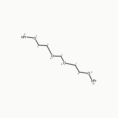 CCCOCCOCOCCOCCC